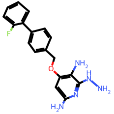 NNc1nc(N)cc(OCc2ccc(-c3ccccc3F)cc2)c1N